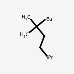 CCC(C)C(C)(C)CCC(C)C